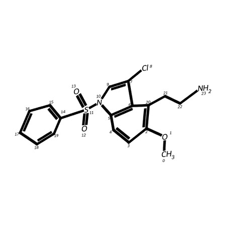 COc1ccc2c(c(Cl)cn2S(=O)(=O)c2ccccc2)c1CCN